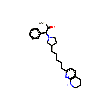 COC(=O)C(c1ccccc1)N1CCC(CCCCCc2ccc3c(n2)NCCC3)C1